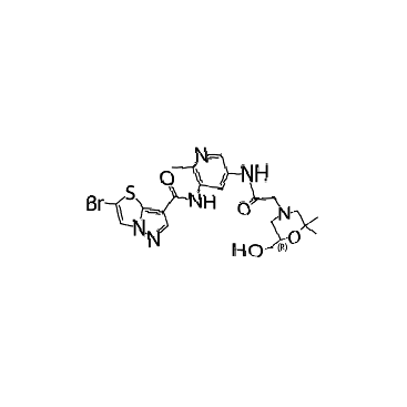 Cc1ncc(NC(=O)CN2C[C@H](CO)OC(C)(C)C2)cc1NC(=O)c1cnn2cc(Br)sc12